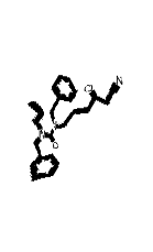 C=CCN(Cc1ccccc1)C(=O)N(CC=CC(=O)CC#N)Cc1ccccc1